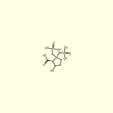 O=C(O)[C@@H]1C(O)CC[N+]1(CP(=O)(O)O)CP(=O)(O)O